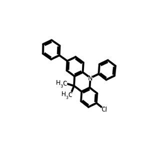 CC1(C)c2ccc(Cl)cc2N(c2ccccc2)c2ccc(-c3ccccc3)cc21